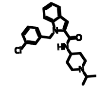 CC(C)N1CCC(NC(=O)c2cc3ccccc3n2Cc2cccc(Cl)c2)CC1